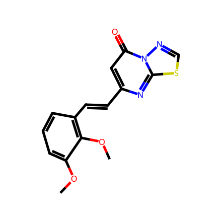 COc1cccc(/C=C/c2cc(=O)n3ncsc3n2)c1OC